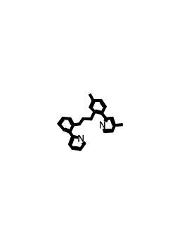 Cc1ccnc(-c2ccc(C)cc2CCCc2ccccc2-c2ccccn2)c1